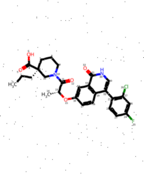 CCC[C@]1(C(=O)O)CCCN(C(=O)[C@@H](C)Oc2ccc3c(-c4ccc(F)cc4Cl)c[nH]c(=O)c3c2)C1